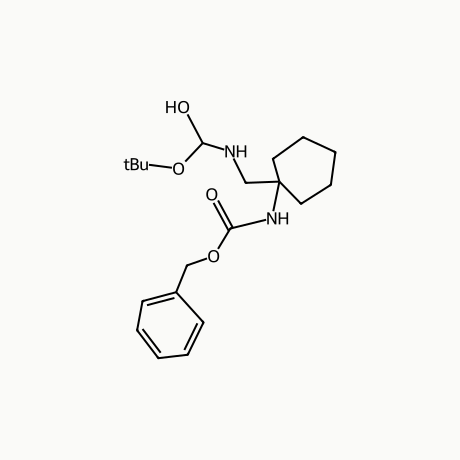 CC(C)(C)OC(O)NCC1(NC(=O)OCc2ccccc2)CCCCC1